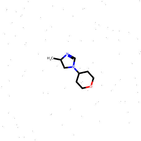 CC1CN(C2CCOCC2)C=N1